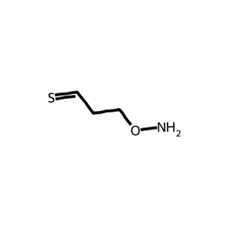 NOCCC=S